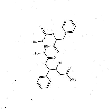 CCCCC(NC(=O)C(Cc1ccccc1)NC(=O)OC(C)(C)C)C(=O)NC(c1ccccc1)C(O)CC(=O)OC